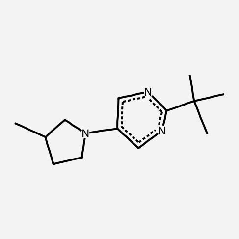 CC1CCN(c2cnc(C(C)(C)C)nc2)C1